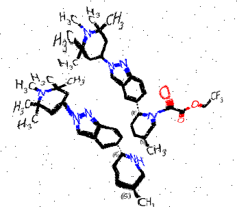 C[C@H]1CC[C@H](c2ccc3nn(C4CC(C)(C)N(C)C(C)(C)C4)cc3c2)N(C(=O)C(=O)OCC(F)(F)F)C1.C[C@H]1CC[C@H](c2ccc3nn(C4CC(C)(C)N(C)C(C)(C)C4)cc3c2)NC1